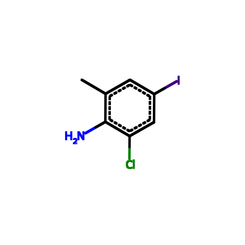 Cc1cc(I)cc(Cl)c1N